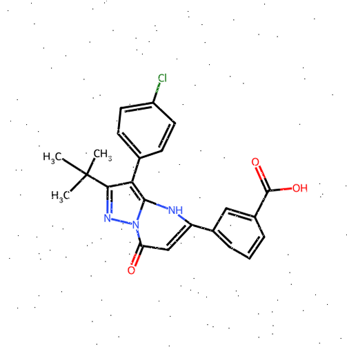 CC(C)(C)c1nn2c(=O)cc(-c3cccc(C(=O)O)c3)[nH]c2c1-c1ccc(Cl)cc1